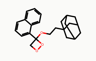 c1ccc2c(C3(OCCC45CC6CC(CC(C6)C4)C5)COO3)cccc2c1